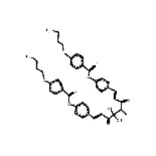 CC(C(=O)/C=C/c1ccc(OC(=O)c2ccc(OCCCC(F)(F)F)cc2)cc1)C(O)(O)C(=O)/C=C/c1ccc(OC(=O)c2ccc(OCCCC(F)(F)F)cc2)cc1